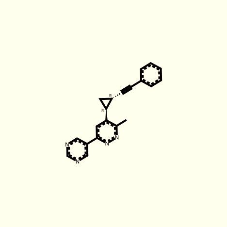 Cc1nnc(-c2cncnc2)cc1[C@H]1C[C@@H]1C#Cc1ccccc1